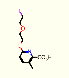 Cc1ccc(OCCOCCI)nc1C(=O)O